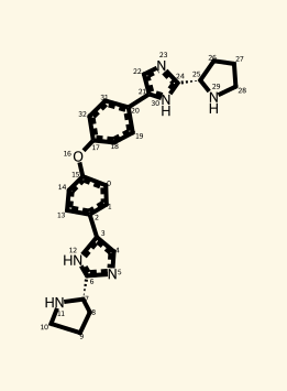 c1cc(-c2cnc([C@@H]3CCCN3)[nH]2)ccc1Oc1ccc(-c2cnc([C@@H]3CCCN3)[nH]2)cc1